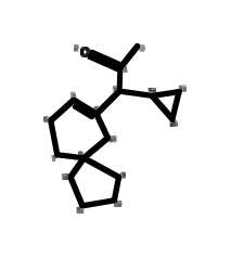 CC(=O)C(C1=CCCC2(CCCC2)C1)C1CC1